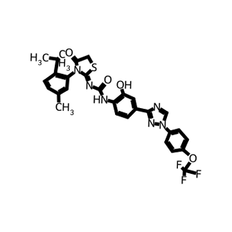 Cc1ccc(C(C)C)c(N2C(=O)CSC2=NC(=O)Nc2ccc(-c3ncn(-c4ccc(OC(F)(F)F)cc4)n3)cc2O)c1